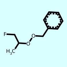 CC(CF)OOCc1ccccc1